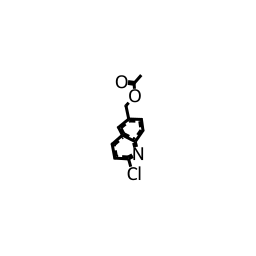 CC(=O)OCc1ccc2nc(Cl)ccc2c1